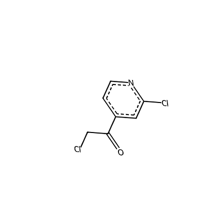 O=C(CCl)c1ccnc(Cl)c1